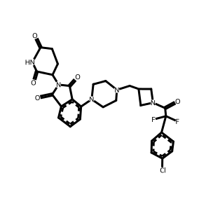 O=C1CCC(N2C(=O)c3cccc(N4CCN(CC5CN(C(=O)C(F)(F)c6ccc(Cl)cc6)C5)CC4)c3C2=O)C(=O)N1